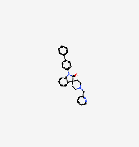 O=C1N(c2ccc(-c3ccccc3)cc2)c2ccccc2C12CCN(Cc1[c]cccn1)CC2